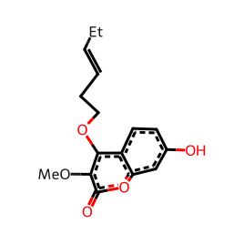 CC/C=C/CCOc1c(OC)c(=O)oc2cc(O)ccc12